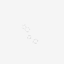 COc1cccc(-c2noc(-c3ccc4c(c3)nnn4C(C)C)n2)n1